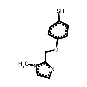 Cn1ccnc1COc1ccc(S)cc1